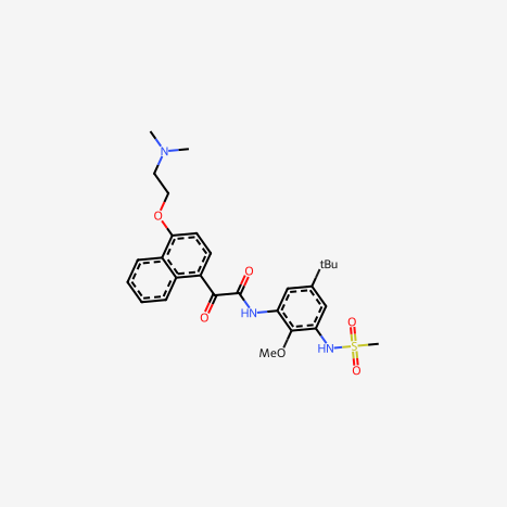 COc1c(NC(=O)C(=O)c2ccc(OCCN(C)C)c3ccccc23)cc(C(C)(C)C)cc1NS(C)(=O)=O